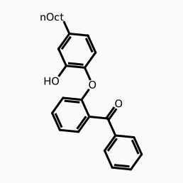 CCCCCCCCc1ccc(Oc2ccccc2C(=O)c2ccccc2)c(O)c1